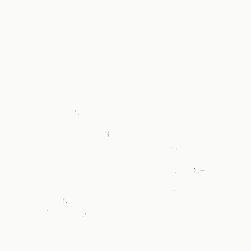 CC1N(Cc2ccccc2)c2ccc([N+](=O)[O-])cc2[N+]1(C)C1CCCC(S(N)(=O)=O)C1